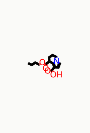 CCCCOC(=O)C1CCCn2ccc(C(=O)O)c21